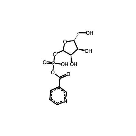 O=C(OP(=O)(O)OC1O[C@H](CO)[C@@H](O)[C@H]1O)c1cccnc1